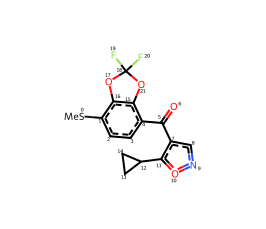 CSc1ccc(C(=O)c2cnoc2C2CC2)c2c1OC(F)(F)O2